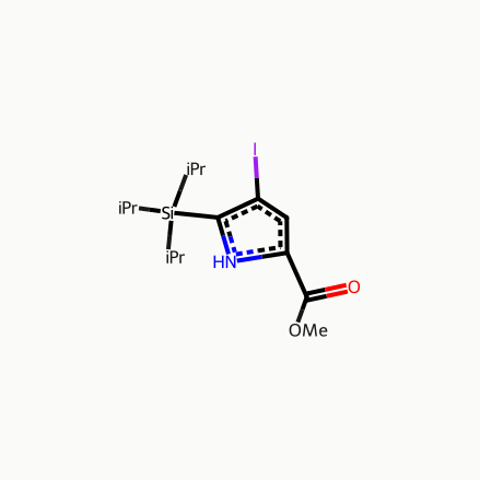 COC(=O)c1cc(I)c([Si](C(C)C)(C(C)C)C(C)C)[nH]1